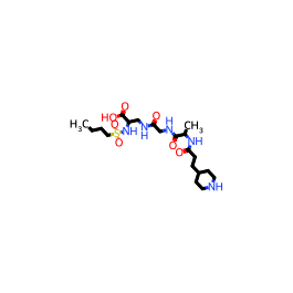 CCCCS(=O)(=O)NC(CNC(=O)CNC(=O)C(C)NC(=O)CCC1CCNCC1)C(=O)O